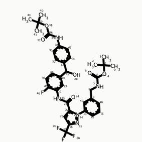 CC(C)(C)OC(=O)NCc1cccc(-n2nc(C(F)(F)F)cc2C(=O)Nc2cc(C(O)c3ccc(NC(=O)OC(C)(C)C)cc3)ccc2F)c1